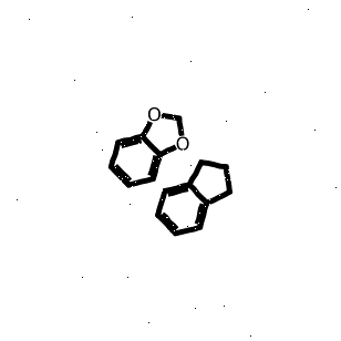 c1ccc2c(c1)CCC2.c1ccc2c(c1)OCO2